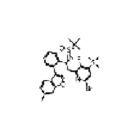 Cc1ccc2c(-c3ccccc3C(Cc3nc(Br)cc([Si](C)(C)C)c3F)N[S@@+]([O-])C(C)(C)C)noc2c1